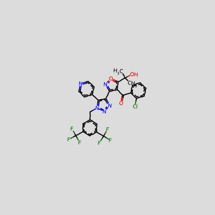 CC(C)(O)c1onc(-c2nnn(Cc3cc(C(F)(F)F)cc(C(F)(F)F)c3)c2-c2ccncc2)c1C(=O)c1ccccc1Cl